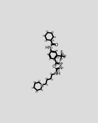 O=C(Nc1ccc(-c2nnc(NCCCCN3CCCCC3)o2)c(C(F)(F)F)c1)C1CCCCC1